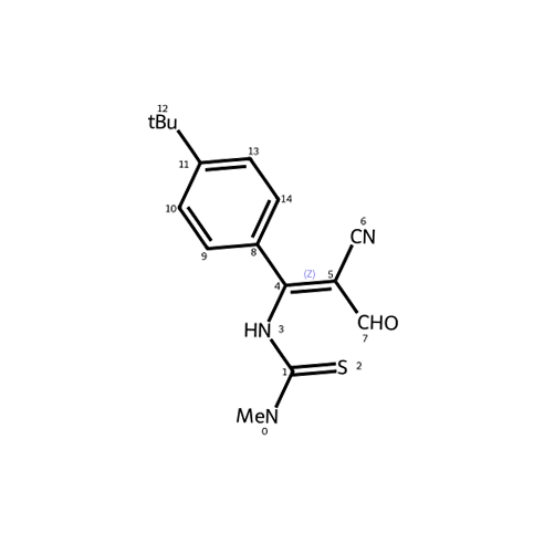 CNC(=S)N/C(=C(/C#N)C=O)c1ccc(C(C)(C)C)cc1